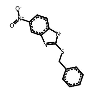 O=[N+]([O-])c1ccc2c(c1)N=C(SCc1ccccc1)[N]2